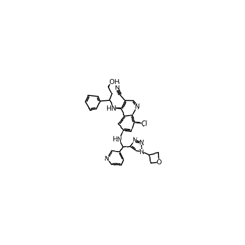 N#Cc1cnc2c(Cl)cc(NC(c3cccnc3)c3cn(C4COC4)nn3)cc2c1NC(CCO)c1ccccc1